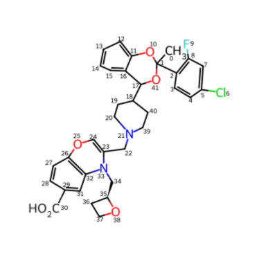 CC1(c2ccc(Cl)cc2F)Oc2ccccc2C(C2CCN(CC3=COc4ccc(C(=O)O)cc4N3C[C@@H]3CCO3)CC2)O1